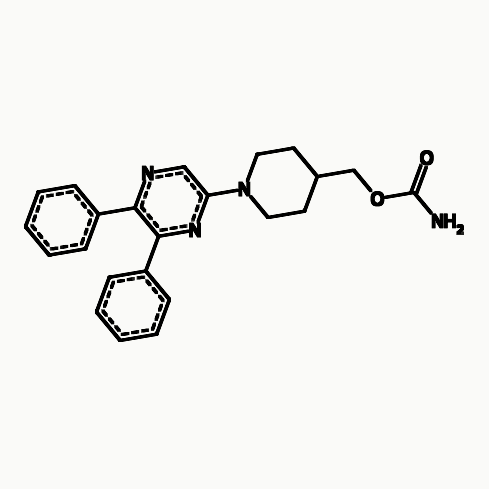 NC(=O)OCC1CCN(c2cnc(-c3ccccc3)c(-c3ccccc3)n2)CC1